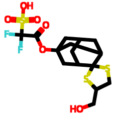 O=C(OC12CC3CC(C1)C1(SCC(CO)S1)C(C3)C2)C(F)(F)S(=O)(=O)O